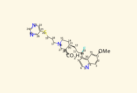 COc1ccc2nccc([C@H](F)CC[C@@H]3CCN(CCCSc4cncnc4)C[C@@H]3C(=O)O)c2c1